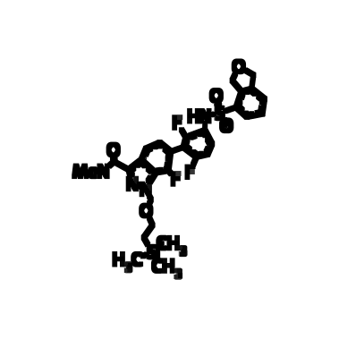 CNC(=O)c1nn(COCC[Si](C)(C)C)c2c(F)c(-c3c(F)ccc(NS(=O)(=O)c4cccc5c4COC5)c3F)ccc12